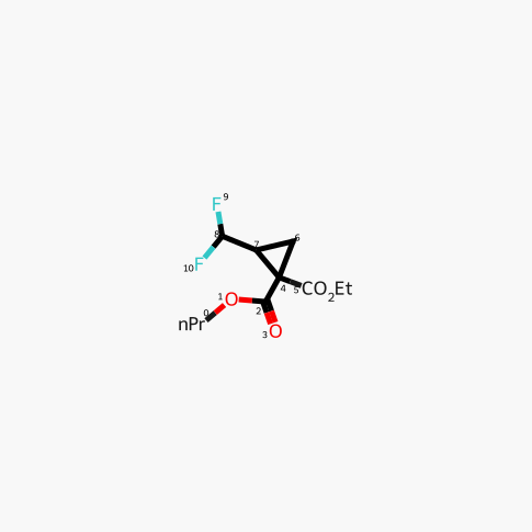 CCCOC(=O)C1(C(=O)OCC)CC1C(F)F